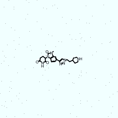 Cn1c(=O)n(C2CCC(=O)NC2=O)c2ccc(-c3cn(CCC4CCNCC4)nn3)cc21